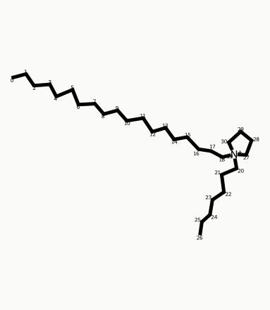 CCCCCCCCCCCCCCCCCCC[N+]1(CCCCCCC)CCCC1